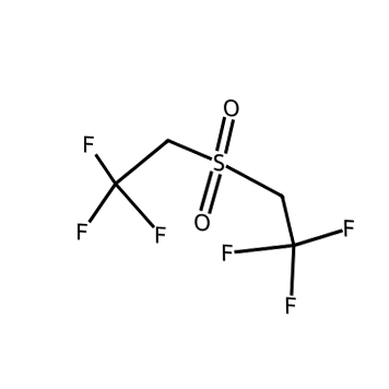 O=S(=O)(CC(F)(F)F)CC(F)(F)F